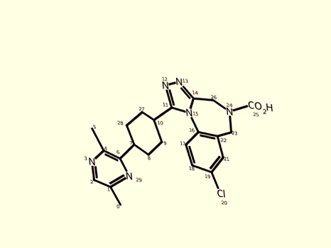 Cc1cnc(C)c(C2CCC(c3nnc4n3-c3ccc(Cl)cc3CN(C(=O)O)C4)CC2)n1